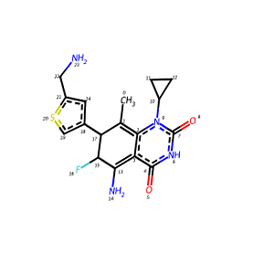 CC1=c2c(c(=O)[nH]c(=O)n2C2CC2)=C(N)C(F)C1c1csc(CN)c1